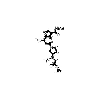 CNC(=O)c1csc2c(C(F)(F)F)cc(N3CCC(N(C)CC(=O)NC(C)C)C3)nc12